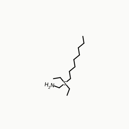 CCCCCCCCS(CC)(CC)CN